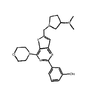 CN(C)C1CCN(Cc2cc3nc(-c4cccc(O)c4)nc(N4CCOCC4)c3s2)C1